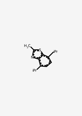 Cc1nc2c(C(C)C)ccc(C(C)C)c2s1